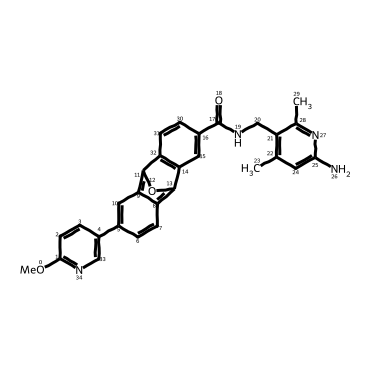 COc1ccc(-c2ccc3c(c2)c2oc3c3cc(C(=O)NCc4c(C)cc(N)nc4C)ccc32)cn1